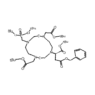 CC(C)(C)OC(=O)CN1CCN(CP(=O)(OC(C)(C)C)OC(C)(C)C)CCN(CC(=O)OC(C)(C)C)CCN(C(CC(=O)OCc2ccccc2)C(=O)OC(C)(C)C)CC1